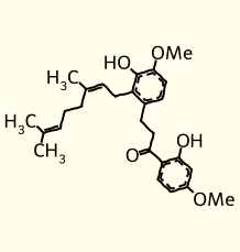 COc1ccc(C(=O)CCc2ccc(OC)c(O)c2CC=C(C)CCC=C(C)C)c(O)c1